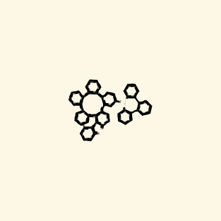 c1ccc2c(c1)-c1ccccc1N(c1ccc3c4ccccc4c4ccccc4c4ccccc4c4c(ccc5oc6ccccc6c54)c3c1)c1ccccc1-2